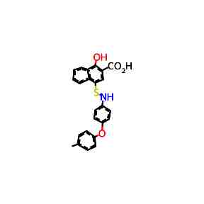 Cc1ccc(Oc2ccc(NSc3cc(C(=O)O)c(O)c4ccccc34)cc2)cc1